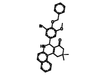 COc1cc(C2Nc3ccc4ccccc4c3C3=C2C(=O)CC(C)(C)C3)cc(Br)c1OCc1ccccc1